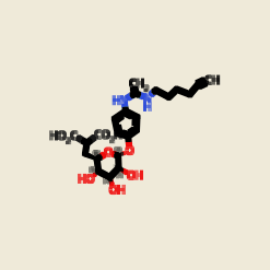 C#CCCCCNC(=C)Nc1ccc(O[C@H]2O[C@H](CC(C(=O)O)C(=O)O)[C@@H](O)[C@H](O)[C@@H]2O)cc1